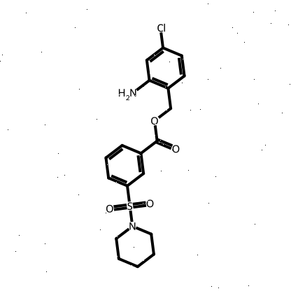 Nc1cc(Cl)ccc1COC(=O)c1cccc(S(=O)(=O)N2CCCCC2)c1